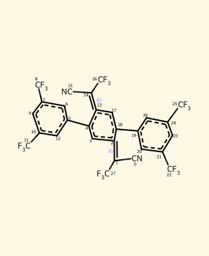 N#C/C(=c1/cc(-c2cc(C(F)(F)F)cc(C(F)(F)F)c2)/c(=C(\C#N)C(F)(F)F)cc1-c1cc(C(F)(F)F)cc(C(F)(F)F)c1)C(F)(F)F